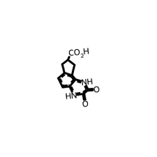 O=C(O)C1Cc2ccc3[nH]c(=O)c(=O)[nH]c3c2C1